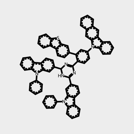 c1ccc(-n2c3ccccc3c3ccc(C4=NC(c5ccc(-n6c7ccccc7c7cc8ccccc8cc76)cc5-c5ccc6c(c5)sc5ccccc56)=NC(c5ccc6c7ccccc7n(-c7ccccc7)c6c5)N4)cc32)cc1